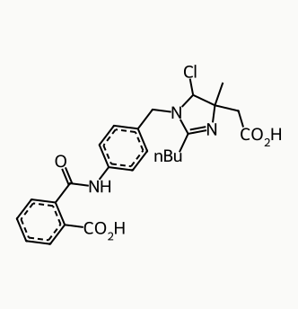 CCCCC1=NC(C)(CC(=O)O)C(Cl)N1Cc1ccc(NC(=O)c2ccccc2C(=O)O)cc1